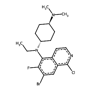 CCN(c1c(F)c(Br)cc2c(Cl)nccc12)[C@H]1CC[C@H](N(C)C)CC1